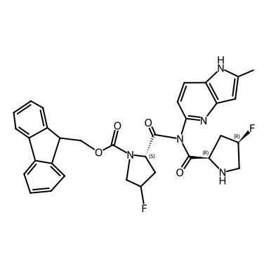 Cc1cc2nc(N(C(=O)[C@H]3C[C@@H](F)CN3)C(=O)[C@@H]3CC(F)CN3C(=O)OCC3c4ccccc4-c4ccccc43)ccc2[nH]1